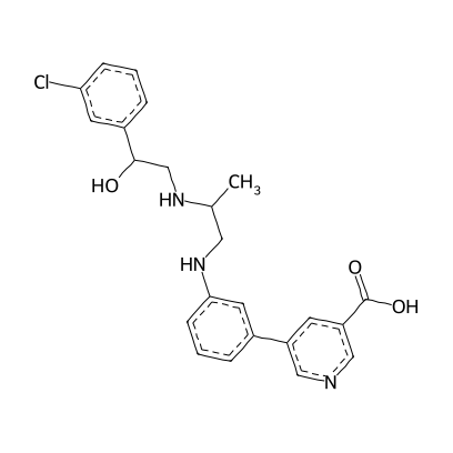 CC(CNc1cccc(-c2cncc(C(=O)O)c2)c1)NCC(O)c1cccc(Cl)c1